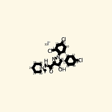 C[N+]1(NC(=O)C2=NN(c3ccc(Cl)cc3Cl)[C@H](c3ccc(Cl)cc3)[C@@H]2O)CCCCC1.[I-]